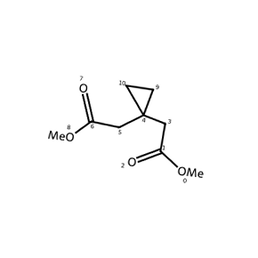 COC(=O)CC1(CC(=O)OC)CC1